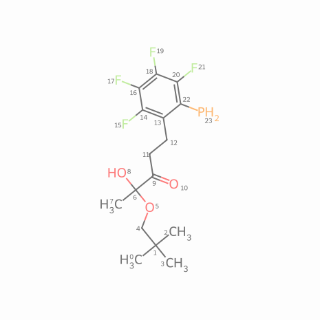 CC(C)(C)COC(C)(O)C(=O)CCc1c(F)c(F)c(F)c(F)c1P